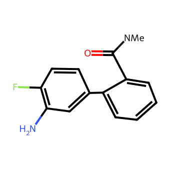 CNC(=O)c1ccccc1-c1ccc(F)c(N)c1